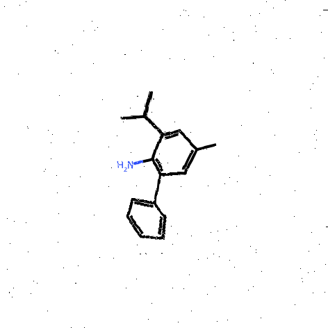 Cc1cc(-c2ccccc2)c(N)c(C(C)C)c1